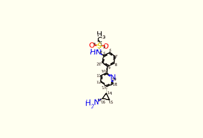 CS(=O)(=O)Nc1cccc(-c2ccc([C@@H]3C[C@H]3N)cn2)c1